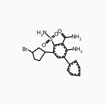 NC(=O)c1c(N)c(-c2ccccc2)cc(C2CCC(Br)C2)c1S(N)(=O)=O